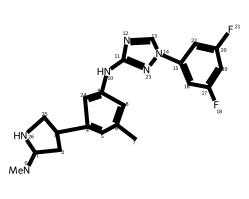 CNC1CC(c2cc(C)cc(Nc3ncn(-c4cc(F)cc(F)c4)n3)c2)CN1